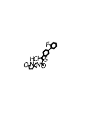 O=C1CCC2(CN(C(=O)c3sc4cc(-c5ccccc5F)ccc4c3Cl)C2)N1